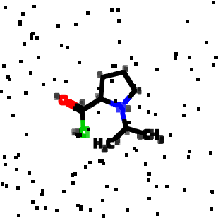 CC(C)N1CCCC1C(=O)Cl